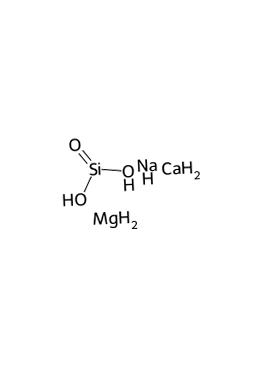 O=[Si](O)O.[CaH2].[MgH2].[NaH]